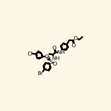 CCOC(=O)Cc1ccc(NC(=O)C(COc2ccc(Cl)cc2)NS(=O)(=O)c2ccc(Br)cc2)cc1